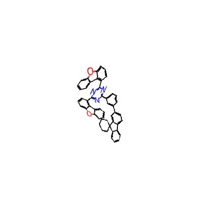 c1cc(-c2ccc3c(c2)C2(CCCCC2)c2ccccc2-3)cc(-c2nc(-c3cccc4oc5ccccc5c34)nc(-c3cccc4oc5ccccc5c34)n2)c1